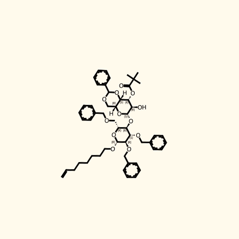 C=CCCCCCCO[C@@H]1O[C@H](COCc2ccccc2)[C@@H](O[C@@H]2O[C@@H]3COC(c4ccccc4)O[C@@H]3[C@H](OC(=O)C(C)(C)C)[C@H]2O)[C@H](OCc2ccccc2)[C@H]1OCc1ccccc1